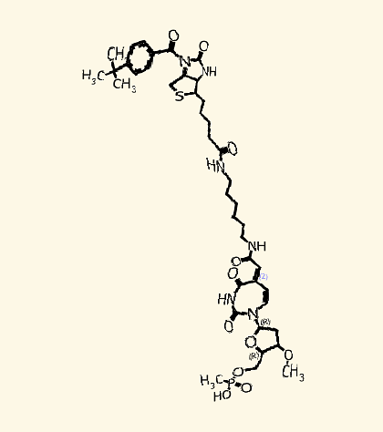 COC1C[C@H](N2C=C/C(=C/C(=O)NCCCCCCNC(=O)CCCCC3SCC4C3NC(=O)N4C(=O)c3ccc(C(C)(C)C)cc3)C(=O)NC2=O)O[C@@H]1COP(C)(=O)O